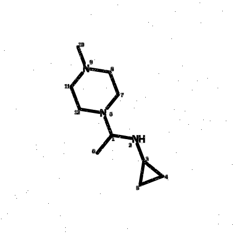 CC(NC1CC1)N1CCN(C)CC1